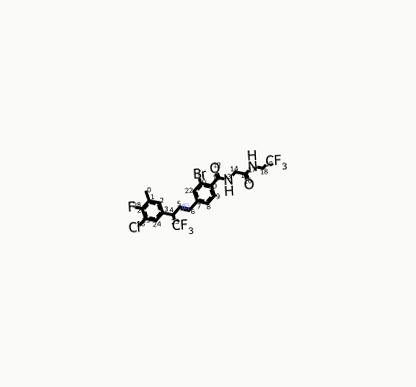 Cc1cc(C(/C=C/c2ccc(C(=O)NCC(=O)NCC(F)(F)F)c(Br)c2)C(F)(F)F)cc(Cl)c1F